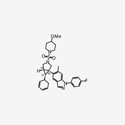 COC1CCN(S(=O)(=O)N2C[C@H]3[C@H](C4C=CC=CC4)[C@@]3(c3cc4cnn(-c5ccc(F)cc5)c4cc3C)C2)CC1